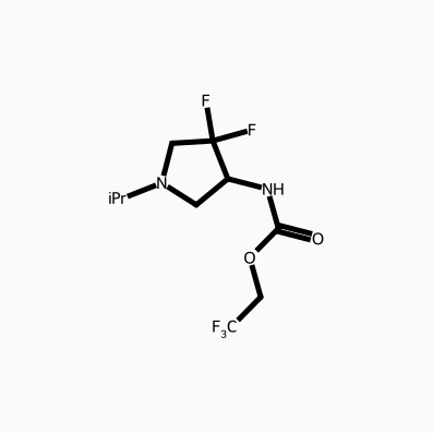 CC(C)N1CC(NC(=O)OCC(F)(F)F)C(F)(F)C1